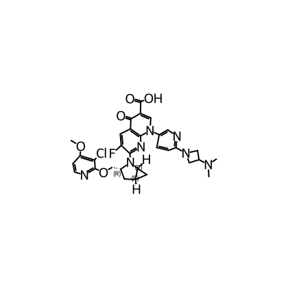 COc1ccnc(OC[C@H]2C[C@H]3C[C@H]3N2c2nc3c(cc2F)c(=O)c(C(=O)O)cn3-c2ccc(N3CC(N(C)C)C3)nc2)c1Cl